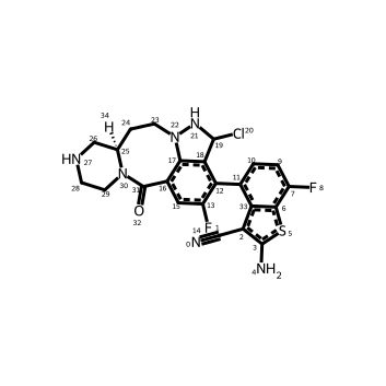 N#Cc1c(N)sc2c(F)ccc(-c3c(F)cc4c5c3C(Cl)NN5CC[C@@H]3CNCCN3C4=O)c12